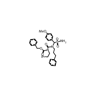 COc1ccc(C(N(CCCc2ccccc2)C(=O)N(CCC(C)C)C(=O)OCc2ccccc2)S(N)(=O)=O)cc1